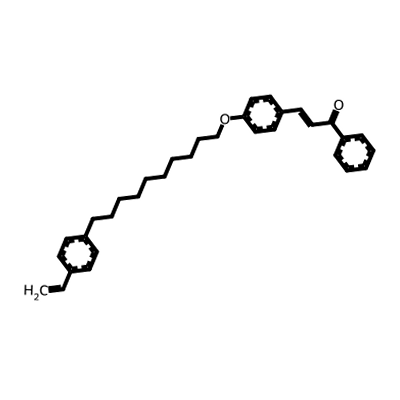 C=Cc1ccc(CCCCCCCCCCOc2ccc(C=CC(=O)c3ccccc3)cc2)cc1